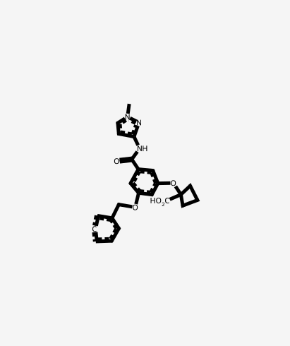 Cn1ccc(NC(=O)c2cc(OCc3ccccc3)cc(OC3(C(=O)O)CCC3)c2)n1